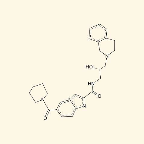 O=C(NC[C@H](O)CN1CCc2ccccc2C1)c1cn2cc(C(=O)N3CCCCC3)ccc2n1